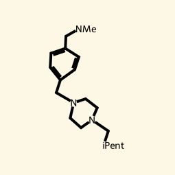 CCCC(C)CN1CCN(Cc2ccc(CNC)cc2)CC1